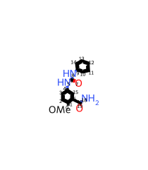 COc1ccc(NC(=O)Nc2ccccc2)cc1C(N)=O